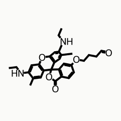 CCNc1cc2c(cc1C)C1(OC(=O)c3ccc(OCCCC=O)cc31)c1cc(C)c(NCC)cc1O2